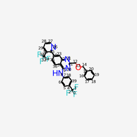 FC(F)(F)c1ccc(Nc2nc(COCc3ccccc3)nc3cc(-c4ncccc4C(F)(F)F)ccc23)cc1